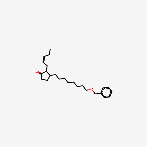 CC/C=C\CC1C(=O)CCC1CCCCCCCCOCc1ccccc1